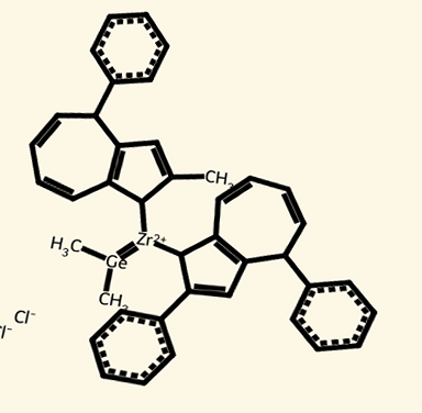 CC1=CC2=C(C=CC=CC2c2ccccc2)[CH]1[Zr+2]([CH]1C(c2ccccc2)=CC2=C1C=CC=CC2c1ccccc1)=[Ge]([CH3])[CH3].[Cl-].[Cl-]